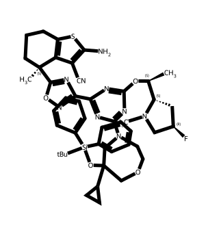 C[C@H](Oc1nc(-c2noc([C@@]3(C)CCCc4sc(N)c(C#N)c43)n2)nc(N2CCOCC(O[Si](c3ccccc3)(c3ccccc3)C(C)(C)C)(C3CC3)C2)n1)[C@@H]1C[C@@H](F)CN1C